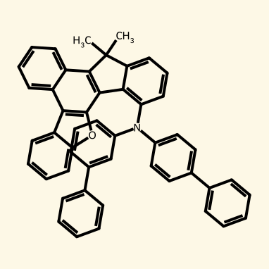 CC1(C)c2cccc(N(c3ccc(-c4ccccc4)cc3)c3cccc(-c4ccccc4)c3)c2-c2c1c1ccccc1c1c2oc2ccccc21